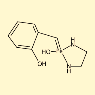 Oc1ccccc1[CH]=[Fe]1([OH])[NH]CC[NH]1